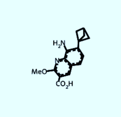 COc1nc2c(N)c(C34CC(C3)C4)ccc2cc1C(=O)O